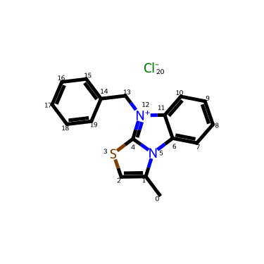 Cc1csc2n1c1ccccc1[n+]2Cc1ccccc1.[Cl-]